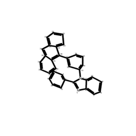 c1ccc(-c2nc3ccccc3n2-c2cccc(-c3c4ccccc4cc4ccccc34)c2)cc1